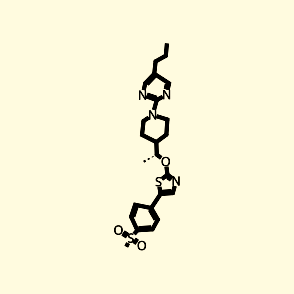 CCCc1cnc(N2CCC([C@@H](C)Oc3ncc(-c4ccc(S(C)(=O)=O)cc4)s3)CC2)nc1